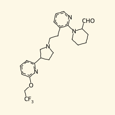 O=CC1CCCCN1c1ncccc1CCN1CCC(c2cccc(OCC(F)(F)F)n2)C1